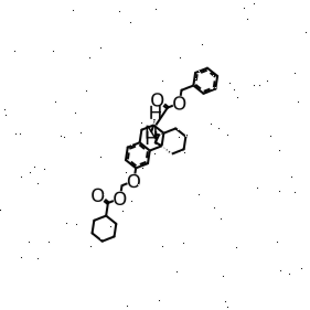 O=C(OCOc1ccc2c(c1)[C@]13CCCC[C@@H]1[C@H](C2)N(C(=O)OCc1ccccc1)CC3)C1CCCCC1